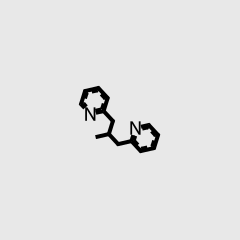 CC(Cc1ccccn1)Cc1ccccn1